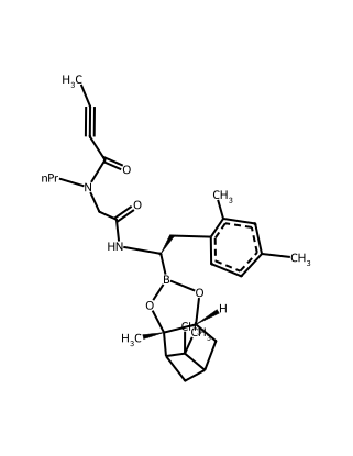 CC#CC(=O)N(CCC)CC(=O)N[C@@H](Cc1ccc(C)cc1C)B1O[C@@H]2CC3CC(C3(C)C)[C@]2(C)O1